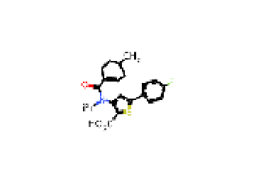 CC1CC=C(C(=O)N(c2cc(-c3ccc(F)cc3)sc2C(=O)O)C(C)C)CC1